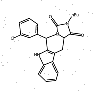 CCCCN1C(=O)C2Cc3c([nH]c4ccccc34)C(c3cccc(Cl)c3)N2C1=O